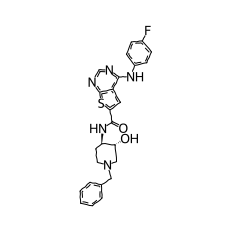 O=C(N[C@@H]1CCN(Cc2ccccc2)C[C@H]1O)c1cc2c(Nc3ccc(F)cc3)ncnc2s1